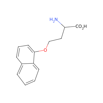 NC(CCOc1cccc2ccccc12)C(=O)O